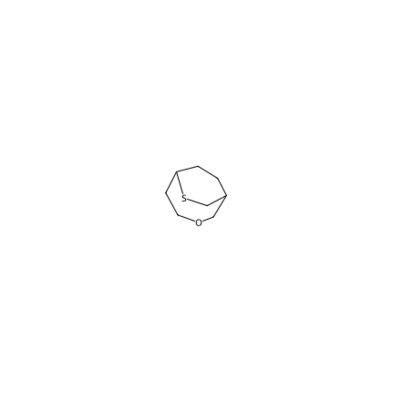 C1CC2CCC(CO1)CS2